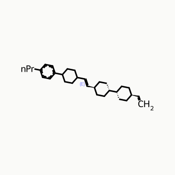 C=C[C@H]1CC[C@H]([C@H]2CC[C@H](/C=C/C3CCC(c4ccc(CCC)cc4)CC3)CC2)CC1